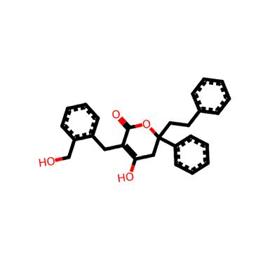 O=C1OC(CCc2ccccc2)(c2ccccc2)CC(O)=C1Cc1ccccc1CO